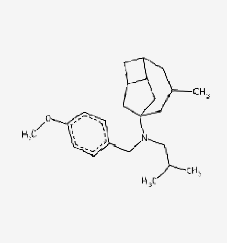 COc1ccc(CN(CC(C)C)C23CC(C)CC4CC(C2)C4C3)cc1